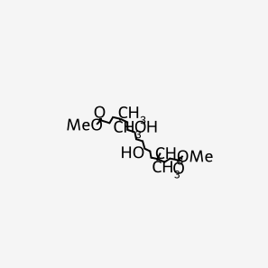 COC(=O)CCC(C)(C)CCC(O)CCC(O)CCC(C)(C)CCC(=O)OC